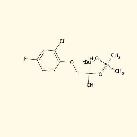 CC(C)(C)C(C#N)(COc1ccc(F)cc1Cl)O[Si](C)(C)C